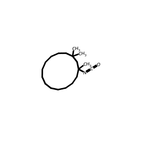 CC1(C)CCCCCCCCCCCCC(C)(N=C=O)C1